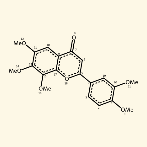 COc1ccc(-c2cc(=O)c3cc(OC)c(OC)c(OC)c3o2)cc1OC